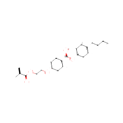 C=C(C)C(=O)OCCO[C@H]1CC[C@H](C(=O)O[C@H]2CC[C@H](CCCC)CC2)CC1